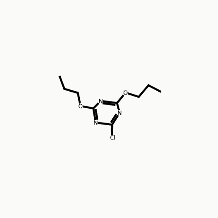 CCCOc1nc(Cl)nc(OCCC)n1